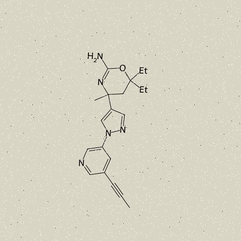 CC#Cc1cncc(-n2cc(C3(C)CC(CC)(CC)OC(N)=N3)cn2)c1